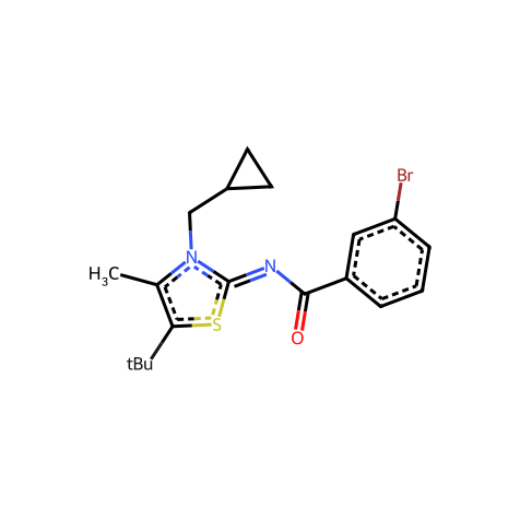 Cc1c(C(C)(C)C)s/c(=N\C(=O)c2cccc(Br)c2)n1CC1CC1